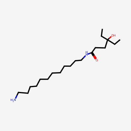 CCC(O)(CC)CCC(=O)NCCCCCCCCCCCCN